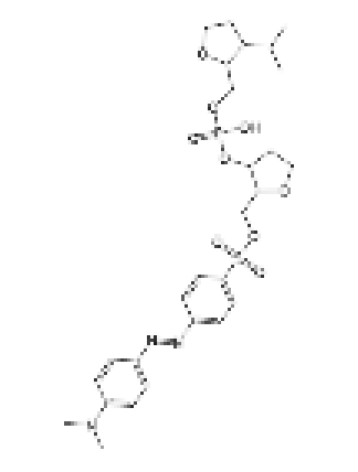 CC(C)C1CCOC1COP(=O)(O)OC1CCOC1COS(=O)(=O)c1ccc(N=Nc2ccc(N(C)C)cc2)cc1